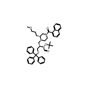 COCCC[C@H]1CN(C(=O)c2cccc3ccccc23)CCN1C[C@H](CSC(c1ccccc1)(c1ccccc1)c1ccccc1)N(C=O)OC(C)(C)C